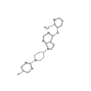 Cc1ncccc1Oc1ncnc2c1ccn2C1CCN(c2ncc(F)cn2)CC1